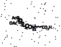 CC[C@H](/C(C)=C/CCCC(=O)O)[C@@]1(C)CCC2C(CC=C(C[C@H](C)OC3C=C[C@H](OC(C)=O)[C@@H](COC(C)=O)O3)C2(C)C)C1